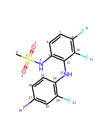 CS(=O)(=O)Nc1ccc(F)c(F)c1Nc1ccc(I)cc1F